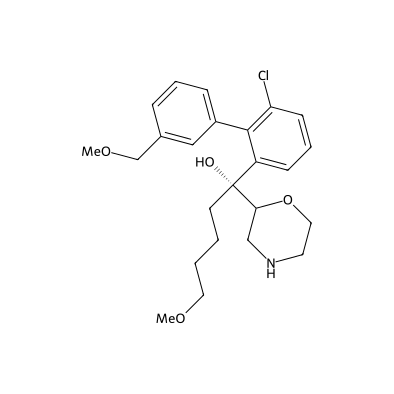 COCCCC[C@@](O)(c1cccc(Cl)c1-c1cccc(COC)c1)C1CNCCO1